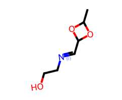 CC1OC(/C=N/CCO)O1